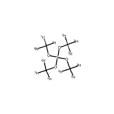 [2H]C([2H])([2H])O[Si](OC([2H])([2H])[2H])(OC([2H])([2H])[2H])OC([2H])([2H])[2H]